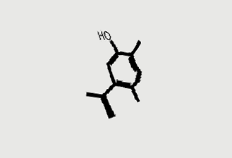 C=C(C)c1cc(O)c(C)cc1C